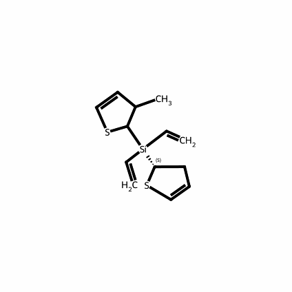 C=C[Si](C=C)(C1SC=CC1C)[C@@H]1CC=CS1